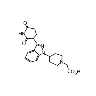 O=C(O)CN1CCC(n2nc(C3CCC(=O)NC3=O)c3ccccc32)CC1